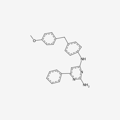 COc1ccc(Cc2ccc(Nc3cc(-c4ccccc4)nc(N)n3)cc2)cc1